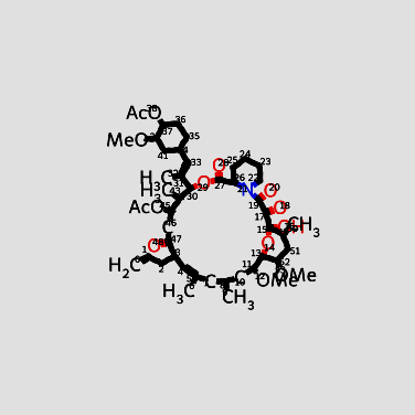 C=CCC1C=C(C)CC(C)CC(OC)C2OC(O)(C(=O)C(=O)N3CCCCC3C(=O)OC(C(C)=CC3CCC(OC(C)=O)C(OC)C3)C(C)C(OC(C)=O)CC1=O)C(C)CC2OC